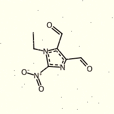 CCn1c([N+](=O)[O-])nc(C=O)c1C=O